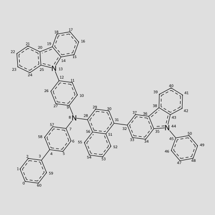 c1ccc(-c2ccc(N(c3ccc(-n4c5ccccc5c5ccccc54)cc3)c3ccc(-c4ccc5c(c4)c4ccccc4n5-c4ccccc4)c4ccccc34)cc2)cc1